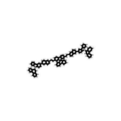 C(=C\c1ccc2cc(-c3ccc4c(c3)c3ccccc3n4-c3cc4ccccc4c4ccccc34)ccc2c1)/c1ccc2c(c1)C1(c3ccccc3-c3ccccc31)c1cc(/C=C/c3ccc4cc(-c5ccc6c(c5)c5ccccc5n6-c5cc6ccccc6c6ccccc56)ccc4c3)ccc1-2